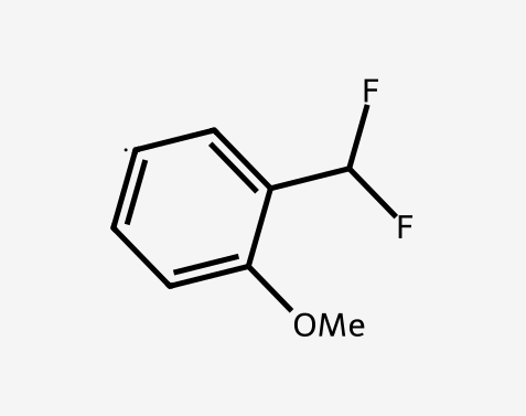 COc1cc[c]cc1C(F)F